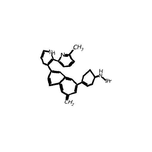 C=C1C=C(C2=CCC(NC(C)C)CC2)C=c2cc(C3=C(c4cccc(C)n4)NC=CC3)ccc2=C1